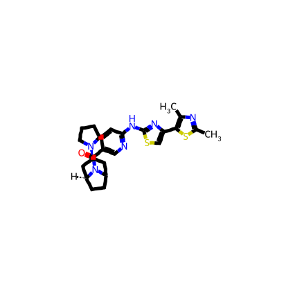 Cc1nc(C)c(-c2csc(Nc3ccc(C(=O)N4C5CC[C@H]4C[C@@H](N4CCCC4)C5)cn3)n2)s1